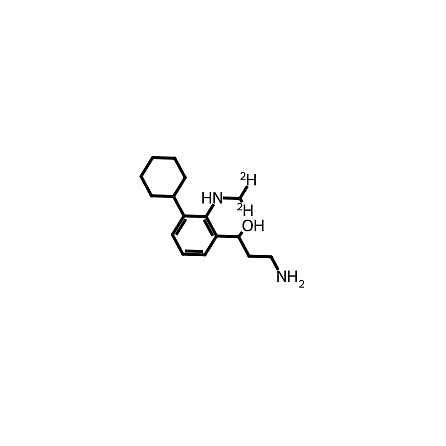 [2H]C([2H])Nc1c(C(O)CCN)cccc1C1CCCCC1